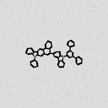 c1ccc(-c2cc(-c3ccccc3)cc(-n3c4ccccc4c4cc(-c5cc6cc7c(cc6c6ccccc56)c5ccccc5n7-c5ccccc5)ccc43)c2)cc1